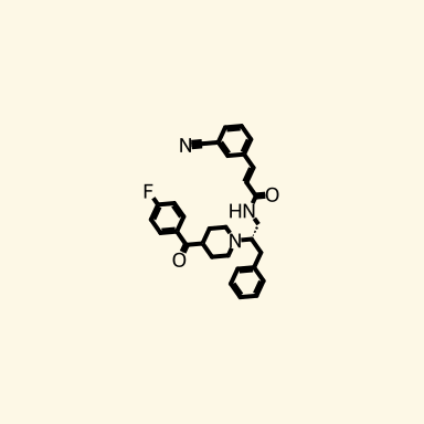 N#Cc1cccc(/C=C/C(=O)NC[C@H](Cc2ccccc2)N2CCC(C(=O)c3ccc(F)cc3)CC2)c1